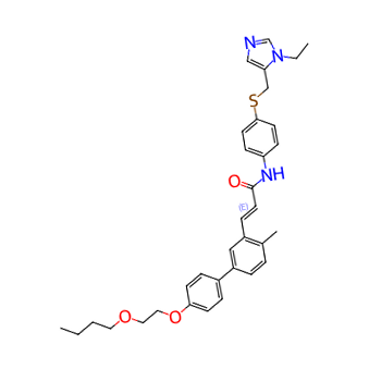 CCCCOCCOc1ccc(-c2ccc(C)c(/C=C/C(=O)Nc3ccc(SCc4cncn4CC)cc3)c2)cc1